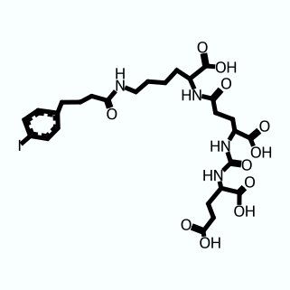 O=C(O)CCC(NC(=O)NC(CCC(=O)NC(CCCCNC(=O)CCCc1ccc(I)cc1)C(=O)O)C(=O)O)C(=O)O